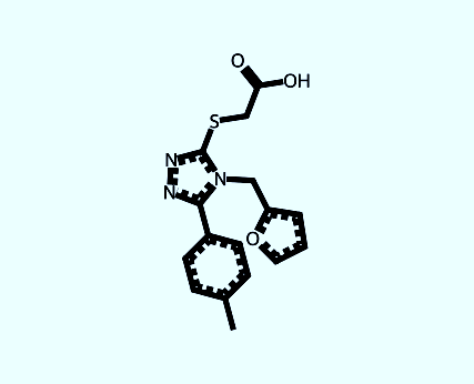 Cc1ccc(-c2nnc(SCC(=O)O)n2Cc2ccco2)cc1